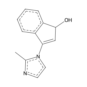 Cc1nccn1C1=CC(O)c2ccccc21